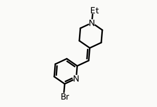 CCN1CCC(=Cc2cccc(Br)n2)CC1